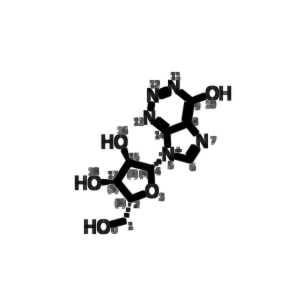 OC[C@H]1O[C@@H]([N+]2C=Nc3c(O)nnnc32)[C@H](O)[C@@H]1O